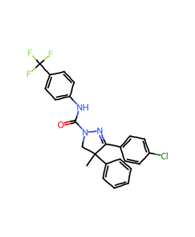 CC1(c2ccccc2)CN(C(=O)Nc2ccc(C(F)(F)F)cc2)N=C1c1ccc(Cl)cc1